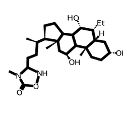 CC[C@H]1[C@@H](O)C2C3CC[C@H]([C@H](C)CCC4NOC(=O)N4C)[C@@]3(C)C[C@H](O)C2[C@@]2(C)CC[C@@H](O)C[C@@H]12